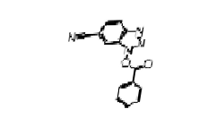 N#Cc1ccc2nnn(OC(=O)c3ccccc3)c2c1